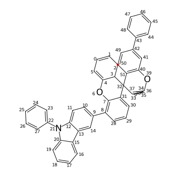 C1=CCC2C(=C1)Oc1c(-c3ccc4c(c3)c3ccccc3n4-c3ccccc3)cccc1C21C2=C(CCC=C2)Oc2cc(-c3ccccc3)ccc21